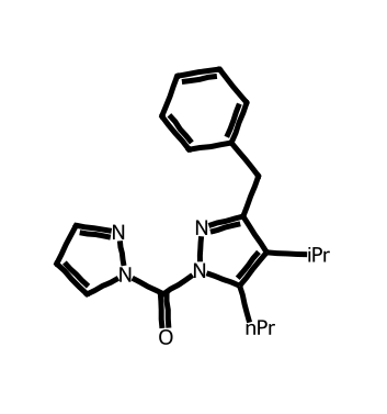 CCCc1c(C(C)C)c(Cc2ccccc2)nn1C(=O)n1cccn1